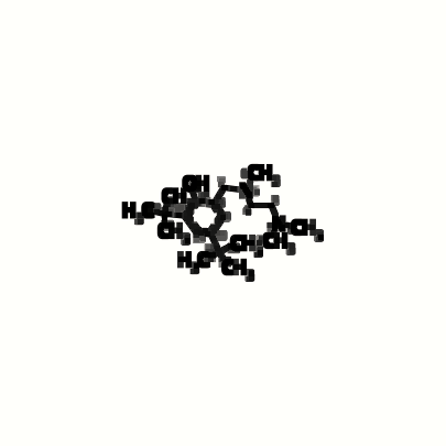 CN(C)CCN(C)Cc1cc(C(C)(C)C)cc(C(C)(C)C)c1O